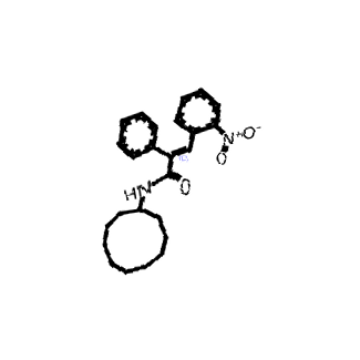 O=C(NC1CCCCCCCCC1)/C(=C/c1ccccc1[N+](=O)[O-])c1ccccc1